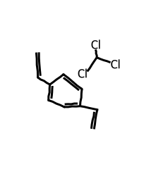 C=Cc1ccc(C=C)cc1.ClC(Cl)Cl